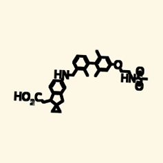 Cc1cc(OCCNS(C)(=O)=O)cc(C)c1-c1cccc(CNc2ccc3c(c2)CC2(CC2)C3CC(=O)O)c1C